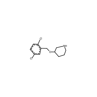 Clc1ccc(Cl)c(COC2CCCNC2)c1